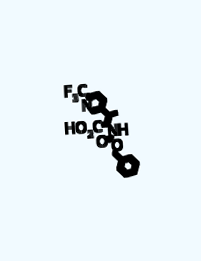 C/C(=C(\NC(=O)OCc1ccccc1)C(=O)O)c1ccc(C(F)(F)F)nc1